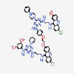 COc1cc(Nc2nc(NCCCNc3c4ccc(Cl)cc4nc4ccc(OCCOc5ccc(Nc6nc(NCCNc7c8ccc(Cl)cc8nc8ccc(OC)cc78)nc(N7CCN(c8ccccc8)CC7)n6)cc5)cc34)nc(N3CCCCC3)n2)cc(OC)c1